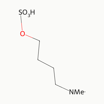 C[N]CCCCOS(=O)(=O)O